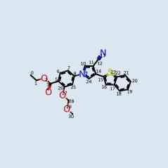 CCOC(=O)c1ccc(-n2cc(C#N)c(-c3cc4ccccc4s3)c2)cc1OCOC